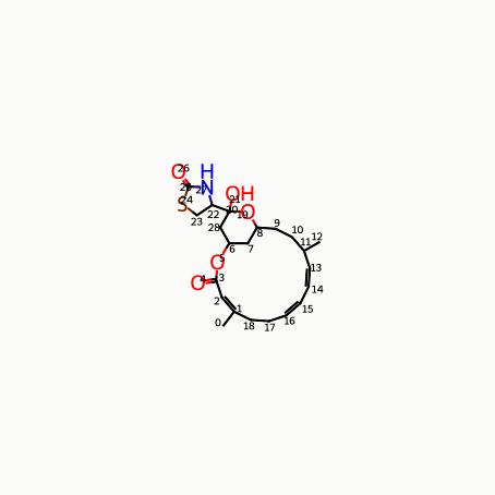 CC1=CC(=O)OC2CC(CCC(C)C=CC=CCC1)OC(O)(C1CSC(=O)N1)C2